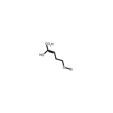 CCOCCC=C(O)C(=O)O